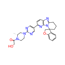 C[C@@H]1CN(c2ncc(-c3ccc4nc5n(c4n3)C3(CCC5)COc4ccccc43)cn2)CCN1C(=O)CO